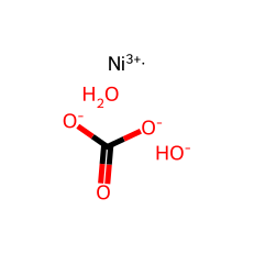 O.O=C([O-])[O-].[Ni+3].[OH-]